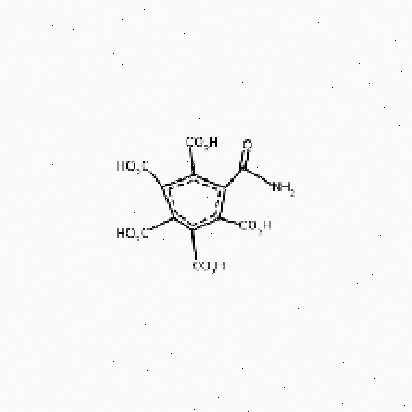 NC(=O)c1c(C(=O)O)c(C(=O)O)c(C(=O)O)c(C(=O)O)c1C(=O)O